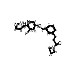 O=C(CCc1cccc(COc2cnc(-c3ccn[nH]3)c(F)c2)c1)N1CCC1